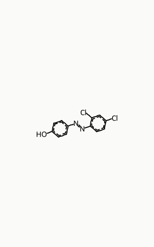 Oc1ccc(/N=N/c2ccc(Cl)cc2Cl)cc1